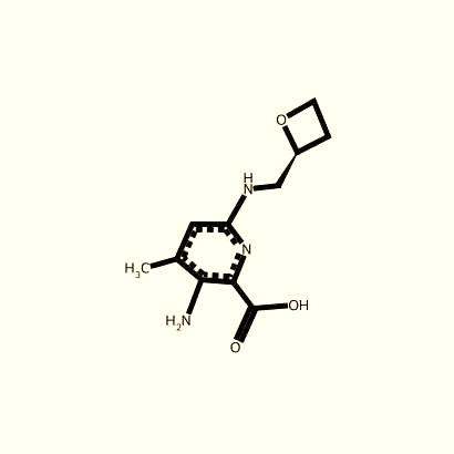 Cc1cc(NC[C@@H]2CCO2)nc(C(=O)O)c1N